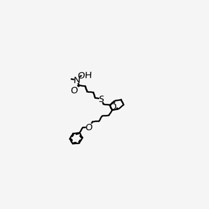 CN(O)C(=O)CCCCSCC1C2CCC(O2)C1CCCCOCc1ccccc1